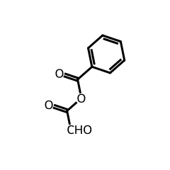 O=CC(=O)OC(=O)c1ccccc1